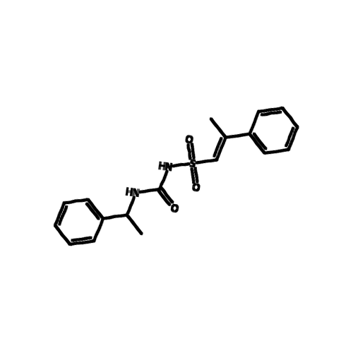 C/C(=C\S(=O)(=O)NC(=O)NC(C)c1ccccc1)c1ccccc1